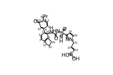 CC(C)n1ccc(-c2ccc3c(c2NC(=O)NS(=N)(=O)c2ccn(C/C=C/B(O)O)n2)CCC3)cc1=O